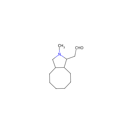 CN1CC2CCCCCCC2C1CC=O